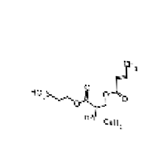 CC=CC(=O)OCC(CCC)C(=O)OCCS(=O)(=O)O.[CaH2]